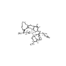 CCCCCC[S+]([O-])c1cccc2cc3ccc(OP(=O)(Oc4c(Cl)cc(Cl)cc4Cl)SCCCC)cc3cc12